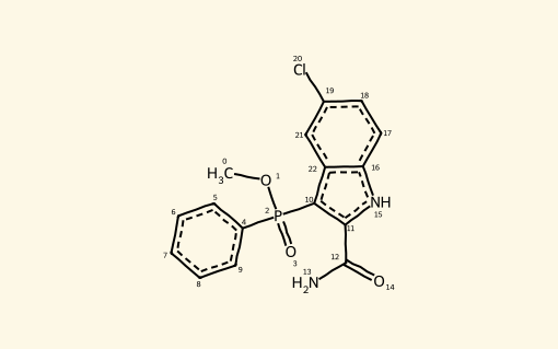 COP(=O)(c1ccccc1)c1c(C(N)=O)[nH]c2ccc(Cl)cc12